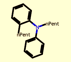 CCCCCc1ccccc1N(CCCCC)c1ccccc1